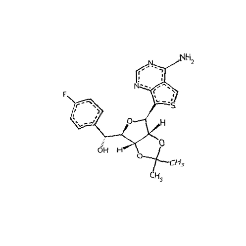 CC1(C)O[C@H]2[C@@H](O1)[C@H](c1scc3c(N)ncnc13)O[C@@H]2[C@H](O)c1ccc(F)cc1